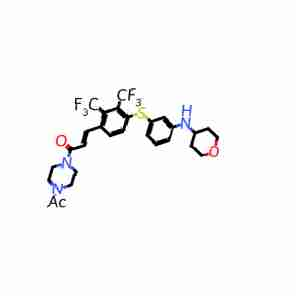 CC(=O)N1CCN(C(=O)/C=C/c2ccc(Sc3cccc(NC4CCOCC4)c3)c(C(F)(F)F)c2C(F)(F)F)CC1